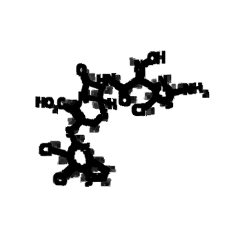 Nc1nc(C(=NO)C(=O)NC2C(=O)N3C(C(=O)O)=C(Sc4sc5ccsc5c(=O)c4Cl)CS[C@@H]23)c(Cl)s1